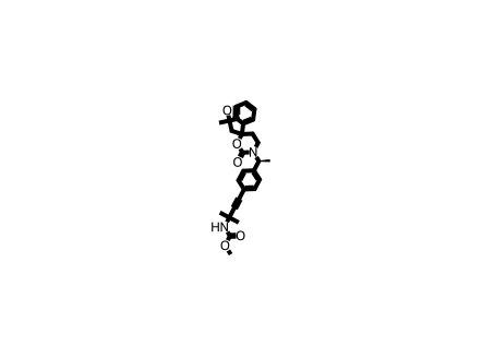 COC(=O)NC(C)(C)C#Cc1ccc([C@H](C)N2CCC(CC(C)(C)O)(c3ccccc3)OC2=O)cc1